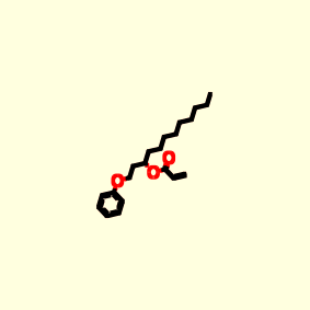 C=CC(=O)OC(CCCCCCCCC)CCOc1ccccc1